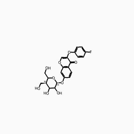 O=c1c(Oc2ccc(F)cc2)coc2cc(O[C@@H]3OC(CO)[C@H](CO)C(O)C3O)ccc12